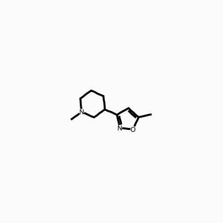 Cc1cc(C2CCCN(C)C2)no1